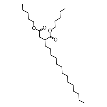 CCCCCCCCCCCCCCC(CC(=O)OCCCCC)C(=O)OCCCCC